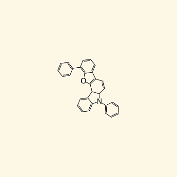 C1=CC2C(c3ccccc3N2c2ccccc2)c2oc3c(-c4ccccc4)cccc3c21